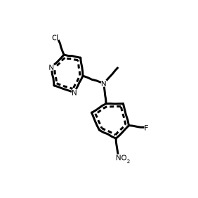 CN(c1ccc([N+](=O)[O-])c(F)c1)c1cc(Cl)ncn1